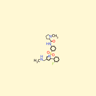 CNCc1cc(-c2ccccc2F)n(S(=O)(=O)c2cccc(NC(=O)C3CCCN3C)c2)c1